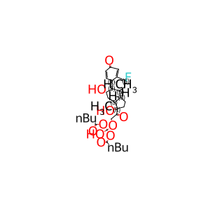 CCCCC(=O)OC(O)(OCC(=O)[C@@]1(O)CC[C@H]2[C@@H]3C[C@H](F)C4=CC(=O)C=C[C@]4(C)[C@H]3C(O)C[C@@]21C)OC(=O)CCCC